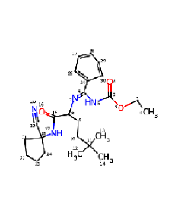 CCOC(=O)N/C(=N\C(CCC(C)(C)C)C(=O)NC1(C#N)CCCC1)c1ccccc1